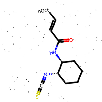 CCCCCCCCC=CC(=O)N[C@H]1CCCC[C@@H]1N=C=S